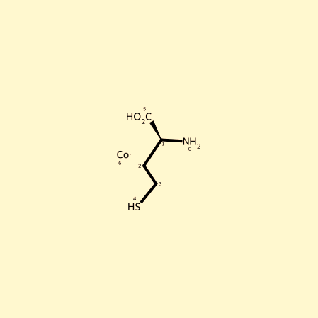 N[C@@H](CCS)C(=O)O.[Co]